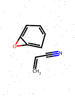 C=CC#N.c1ccc2c(c1)O2